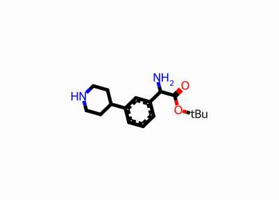 CC(C)(C)OC(=O)C(N)c1cccc(C2CCNCC2)c1